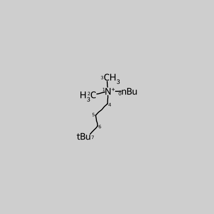 CCCC[N+](C)(C)CCCC(C)(C)C